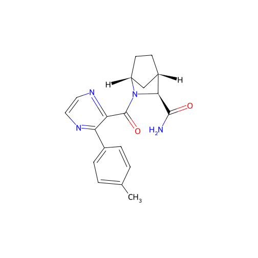 Cc1ccc(-c2nccnc2C(=O)N2[C@@H]3CC[C@@H](C3)[C@H]2C(N)=O)cc1